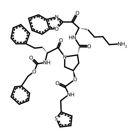 NCCCC[C@H](NC(=O)[C@@H]1C[C@@H](OC(=O)NCc2cccs2)CN1C(=O)[C@@H](CCc1ccccc1)NC(=O)OCc1ccccc1)C(=O)c1nc2ccccc2o1